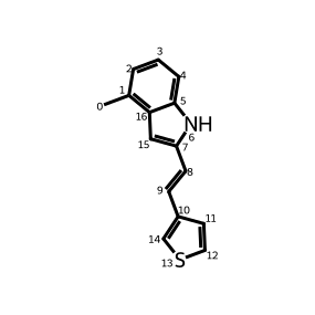 Cc1cccc2[nH]c(C=Cc3ccsc3)cc12